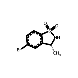 C[C@H]1NS(=O)(=O)c2ccc(Br)cc21